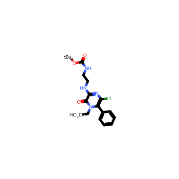 CC(C)(C)OC(=O)NCCNc1nc(Cl)c(-c2ccccc2)n(CC(=O)O)c1=O